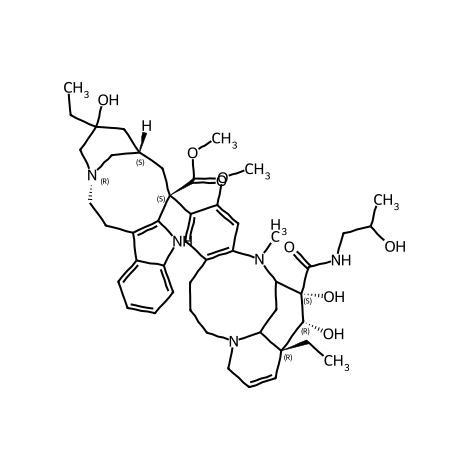 CCC1(O)C[C@H]2C[N@](CCc3c([nH]c4ccccc34)[C@@](C(=O)OC)(c3cc4c(cc3OC)N(C)C3CC5N(CC=C[C@@]5(CC)[C@@H](O)[C@]3(O)C(=O)NCC(C)O)CCC4)C2)C1